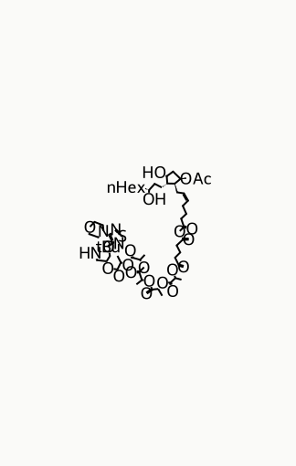 CCCCCC[C@@H](O)CC[C@H]1[C@H](C/C=C\CCCC(=O)OC(=O)CCCC(=O)OC(C)C(=O)OC(C)C(=O)OC(C)C(=O)OC(C)C(=O)OC(C)C(=O)OC(CNC(C)(C)C)COc2nsnc2N2CCOCC2)[C@H](OC(C)=O)C[C@@H]1O